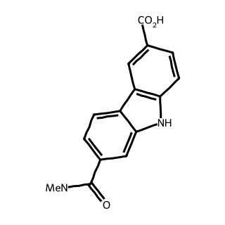 CNC(=O)c1ccc2c(c1)[nH]c1ccc(C(=O)O)cc12